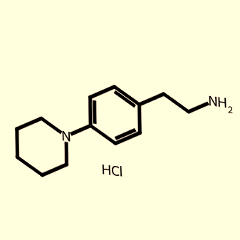 Cl.NCCc1ccc(N2CCCCC2)cc1